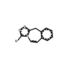 Brc1nnc2n1C=Cc1ccccc1C2